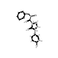 CCN(Cc1ccccc1)C(=O)n1nnn(-c2ccc(Cl)nc2)c1=O